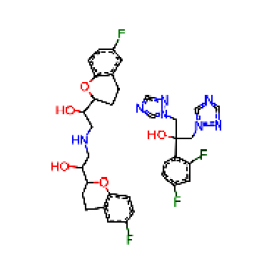 OC(CNCC(O)C1CCc2cc(F)ccc2O1)C1CCc2cc(F)ccc2O1.OC(Cn1cncn1)(Cn1cncn1)c1ccc(F)cc1F